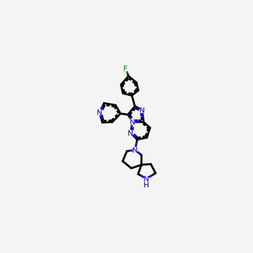 Fc1ccc(-c2nc3ccc(N4CCCC5(CCNC5)C4)nn3c2-c2ccncc2)cc1